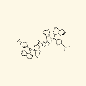 CC(C)c1ccc(N(c2cccc3ccccc23)c2cc3oc4cc5c(cc4c3c3ccccc23)oc2cc(N(c3ccc(C(C)C)cc3)c3cccc4ccccc34)c3ccccc3c25)cc1